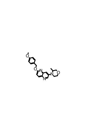 COc1ccc(COc2ccc3ncc(N4CCOCC4C)cc3n2)cc1